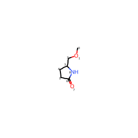 COCC1CCC(=O)N1